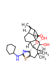 C=C1C2C(=O)[C@]34[C@H]2[C@H]1CC[C@H]3[C@@]12CO[C@]4(O)[C@@H](O)[C@@H]1C(C)(C)Cc1sc(NC3CCCCC3)nc12